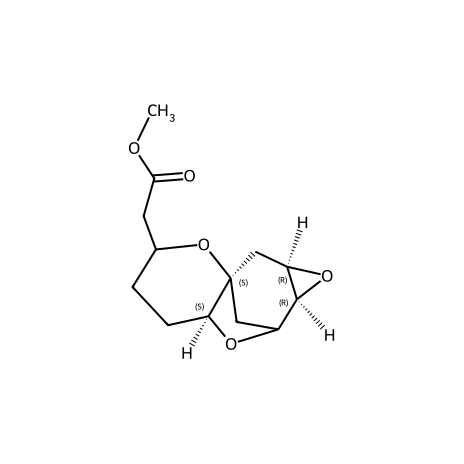 COC(=O)CC1CC[C@@H]2OC3C[C@]2(C[C@H]2O[C@@H]32)O1